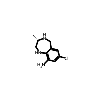 C[C@H]1CNc2c(N)cc(Cl)cc2CN1